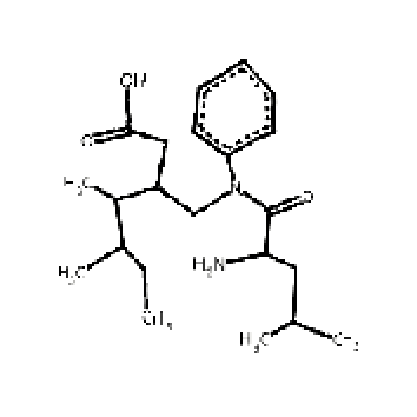 CCC(C)C(C)C(CC(=O)O)CN(C(=O)C(N)CC(C)C)c1ccccc1